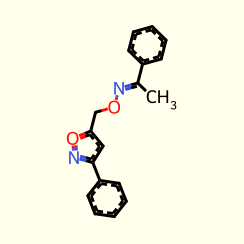 C/C(=N\OCc1cc(-c2ccccc2)no1)c1ccccc1